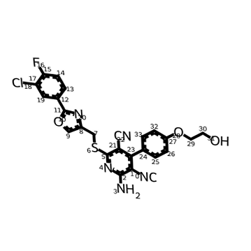 [C-]#[N+]c1c(N)nc(SCc2coc(-c3ccc(F)c(Cl)c3)n2)c(C#N)c1-c1ccc(OCCO)cc1